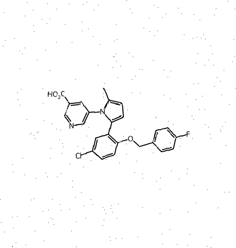 Cc1ccc(-c2cc(Cl)ccc2OCc2ccc(F)cc2)n1-c1cncc(C(=O)O)c1